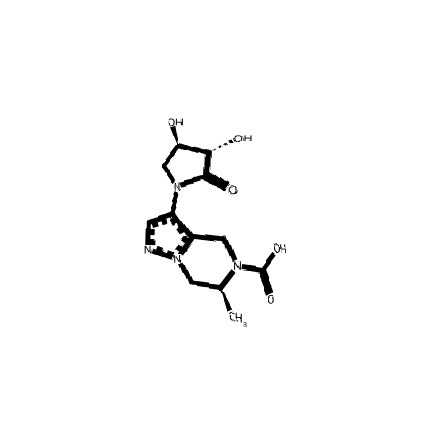 C[C@H]1Cn2ncc(N3C[C@@H](O)[C@H](O)C3=O)c2CN1C(=O)O